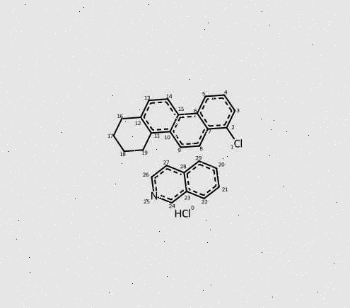 Cl.Clc1cccc2c1ccc1c3c(ccc12)CCCC3.c1ccc2cnccc2c1